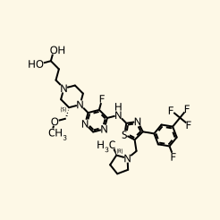 COC[C@@H]1CN(CCC(O)O)CCN1c1ncnc(Nc2nc(-c3cc(F)cc(C(F)(F)F)c3)c(CN3CCC[C@H]3C)s2)c1F